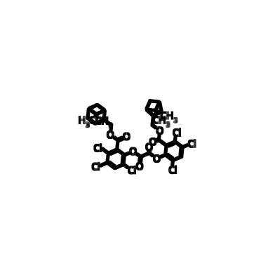 CC1(C)C2CCC(COC(=O)c3c(Cl)c(Cl)cc(Cl)c3OC(=O)C(=O)Oc3c(Cl)cc(Cl)c(Cl)c3C(=O)OCC3CC4CC3C4(C)C)C1C2